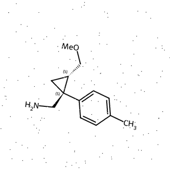 COC[C@H]1C[C@@]1(CN)c1ccc(C)cc1